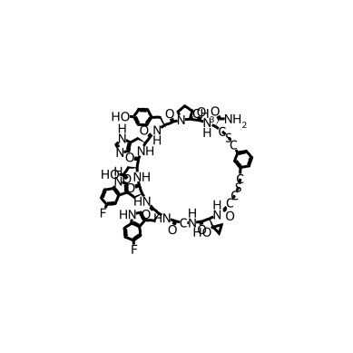 C[C@@]12CCCN1C(=O)[C@H](Cc1ccc(O)cc1)NC(=O)[C@H](Cc1cnc[nH]1)NC(=O)[C@H](CC(=O)O)NC(=O)[C@H](Cc1c[nH]c3ccc(F)cc13)NC(=O)[C@H](Cc1c[nH]c3ccc(F)cc13)NC(=O)CNC(=O)[C@H](C1(O)CC1)NC(=O)CCSCc1cccc(c1)CSC[C@@H](C(N)=O)NC2=O